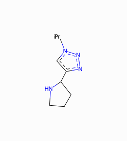 CC(C)n1cc(C2CCCN2)nn1